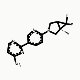 Nc1ccnc(-c2ccc(N3CC4[C@H](C3)C4(F)F)nc2)n1